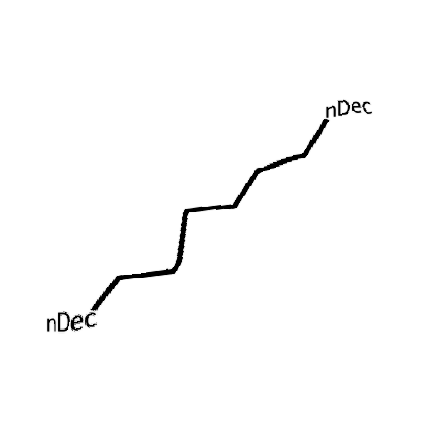 CCCCCC[CH]CCCCCCCCCCCCCCCCCCC